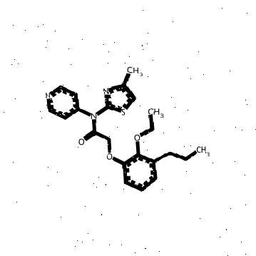 CCCc1cccc(OCC(=O)N(c2ccncc2)c2nc(C)cs2)c1OCC